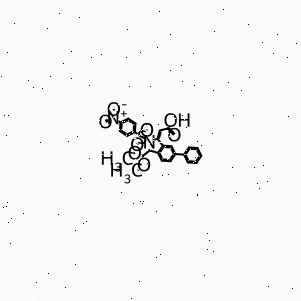 COC(OC)C1c2ccc(-c3ccccc3)cc2C(=CC(=O)O)N1S(=O)(=O)c1ccc([N+](=O)[O-])cc1